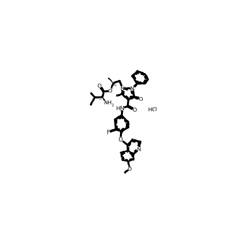 COc1ccc2c(Oc3ccc(NC(=O)c4c(C)n(C[C@H](C)OC(=O)[C@@H](N)C(C)C)n(-c5ccccc5)c4=O)cc3F)ccnc2c1.Cl